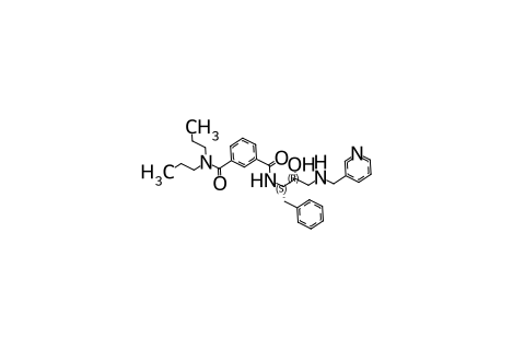 CCCN(CCC)C(=O)c1cccc(C(=O)N[C@@H](Cc2ccccc2)[C@H](O)CNCc2cccnc2)c1